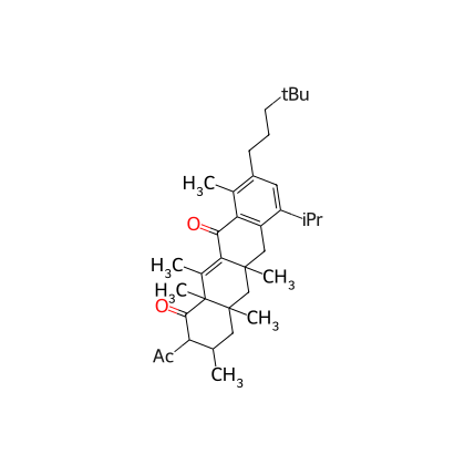 CC(=O)C1C(=O)C2(C)C(C)=C3C(=O)c4c(C)c(CCCC(C)(C)C)cc(C(C)C)c4CC3(C)CC2(C)CC1C